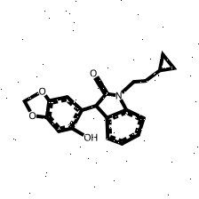 O=C1C(c2cc3c(cc2O)OCO3)c2ccccc2N1CCC1CC1